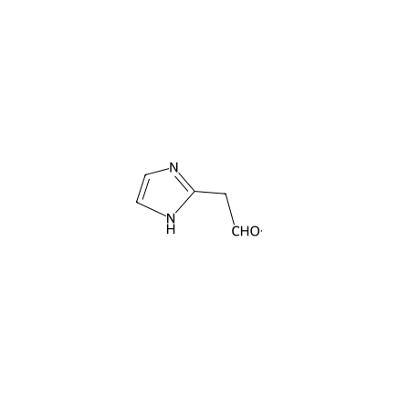 O=[C]Cc1ncc[nH]1